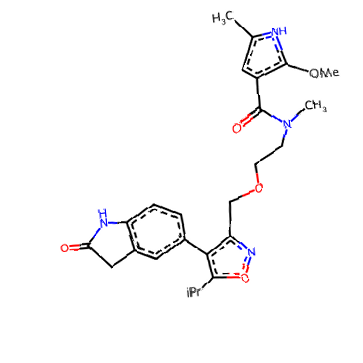 COc1[nH]c(C)cc1C(=O)N(C)CCOCc1noc(C(C)C)c1-c1ccc2c(c1)CC(=O)N2